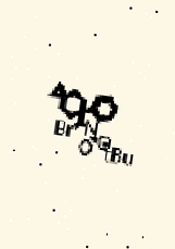 CC(C)(C)OC(=O)N1c2ccccc2C2(CCC3(CC3)CC2)C1Br